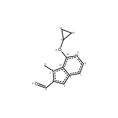 Cn1c(C=O)cc2ccnc(OC3CC3)c21